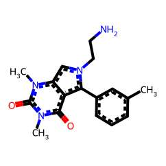 Cc1cccc(-c2c3c(=O)n(C)c(=O)n(C)c3cn2CCN)c1